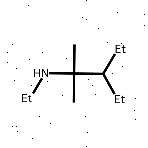 CCNC(C)(C)C(CC)CC